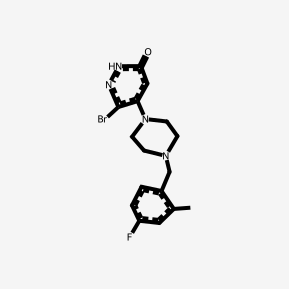 Cc1cc(F)ccc1CN1CCN(c2cc(=O)[nH]nc2Br)CC1